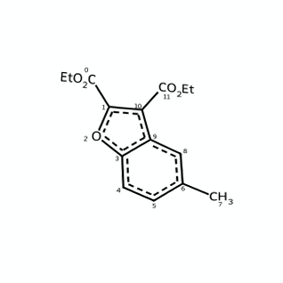 CCOC(=O)c1oc2ccc(C)cc2c1C(=O)OCC